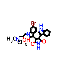 CN(C)CC(O)Cn1cc(C2=C(c3c[nH]c4ccccc34)C(=O)NC2=O)c2ccc(Br)cc21